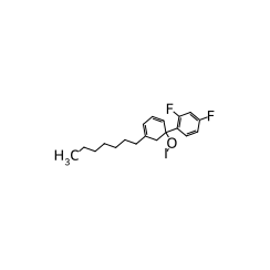 CCCCCCCC1=CC=CC(OI)(c2ccc(F)cc2F)C1